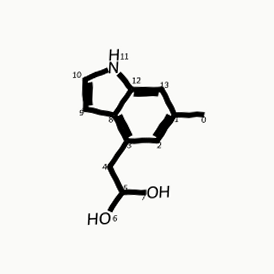 Cc1cc(CC(O)O)c2cc[nH]c2c1